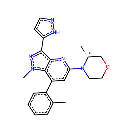 Cc1ccccc1-c1cc(N2CCOC[C@H]2C)nc2c(-c3ccn[nH]3)nn(C)c12